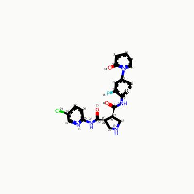 O=C(Nc1ccc(-n2ccccc2=O)cc1F)[C@H]1CNC[C@H]1C(=O)Nc1ccc(Cl)cn1